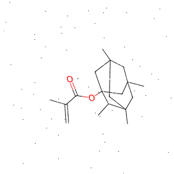 C=C(C)C(=O)OC12CC3(C)CC(C)(CC(C)(C3)C1C)C2